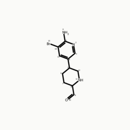 Nc1ncc(C2CCC(C=O)NC2)cc1Br